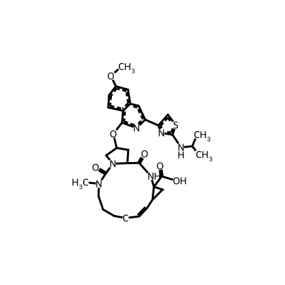 COc1ccc2c(OC3CC4C(=O)NC5(C(=O)O)CC5C=CCCCCN(C)C(=O)N4C3)nc(-c3csc(NC(C)C)n3)cc2c1